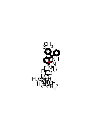 COc1ccc(C(Nc2ccn([C@@H]3O[C@H](CO[Si](C)(C)C)[C@@H](O[Si](C)(C)C)C3(F)F)c(=O)n2)(c2ccccc2)c2ccccc2)cc1